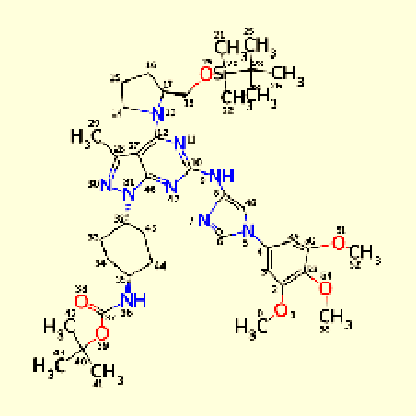 COc1cc(-n2cnc(Nc3nc(N4CCC[C@H]4CO[Si](C)(C)C(C)(C)C)c4c(C)nn([C@H]5CC[C@H](NC(=O)OC(C)(C)C)CC5)c4n3)c2)cc(OC)c1OC